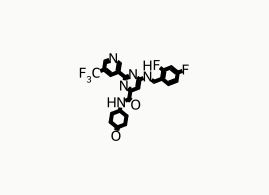 O=C1CCC(NC(=O)c2cc(NCc3ccc(F)cc3F)nc(-c3cncc(C(F)(F)F)c3)n2)CC1